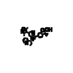 CC[C@@H](c1ccccn1)n1cc(-c2ccc(C3(C(=O)O)CC3)cc2)c2ncc(-c3c(C)noc3C)cc21